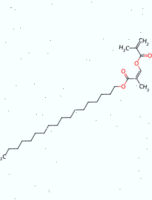 C=C(C)C(=O)OC=C(C)C(=O)OCCCCCCCCCCCCCCCCCC